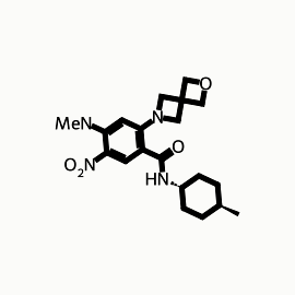 CNc1cc(N2CC3(COC3)C2)c(C(=O)N[C@H]2CC[C@H](C)CC2)cc1[N+](=O)[O-]